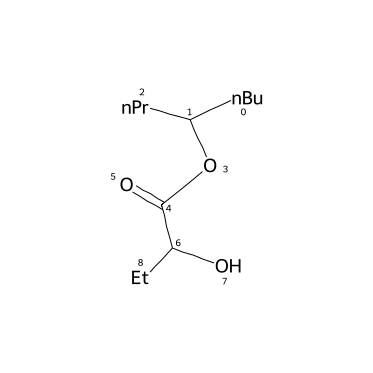 CCCCC(CCC)OC(=O)C(O)CC